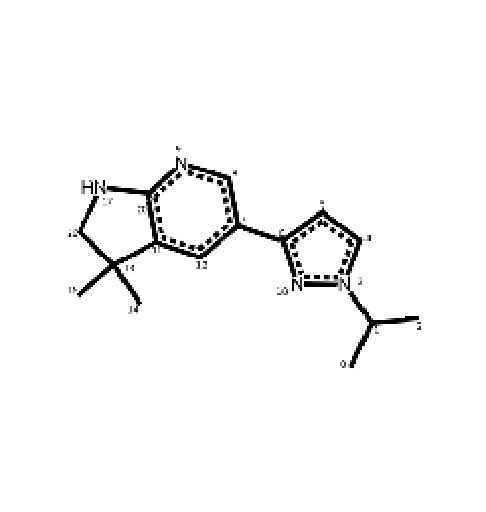 CC(C)n1ccc(-c2cnc3c(c2)C(C)(C)CN3)n1